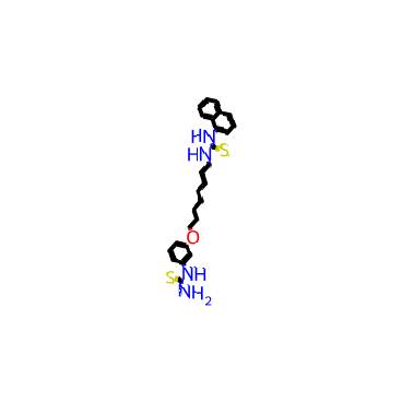 NC(=S)Nc1cccc(OCCCCCCCCNC(=S)Nc2cccc3ccccc23)c1